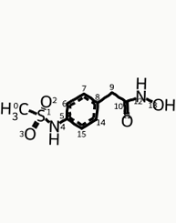 CS(=O)(=O)Nc1ccc(CC(=O)NO)cc1